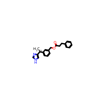 C[C@@H](c1cccc(COC(=O)CCc2ccccc2)c1)c1c[nH]cn1